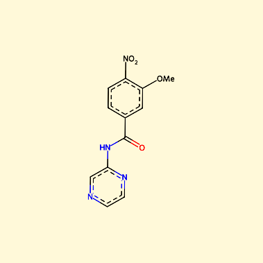 COc1cc(C(=O)Nc2cnccn2)ccc1[N+](=O)[O-]